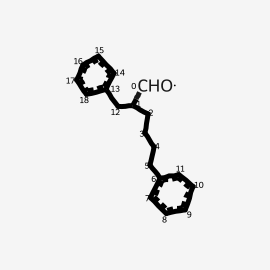 O=[C]C(CCCCc1ccccc1)Cc1ccccc1